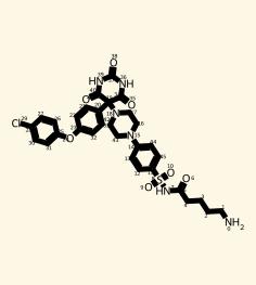 NCCCCC(=O)NS(=O)(=O)c1ccc(N2CCN(C3(c4ccc(Oc5ccc(Cl)cc5)cc4)C(=O)NC(=O)NC3=O)CC2)cc1